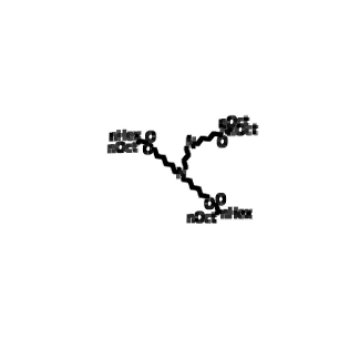 CCCCCCCCC(CCCCCC)C(=O)OCCCCCCN(CCCCCCOC(=O)C(CCCCCC)CCCCCCCC)CCCCN(C)CCCCC(=O)N(CCCCCCCC)CCCCCCCC